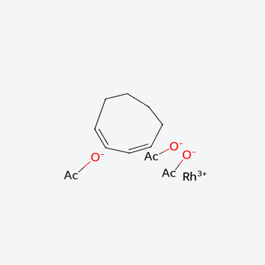 C1=CCCCCC=C1.CC(=O)[O-].CC(=O)[O-].CC(=O)[O-].[Rh+3]